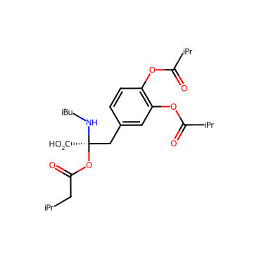 CCC(C)N[C@@](Cc1ccc(OC(=O)C(C)C)c(OC(=O)C(C)C)c1)(OC(=O)CC(C)C)C(=O)O